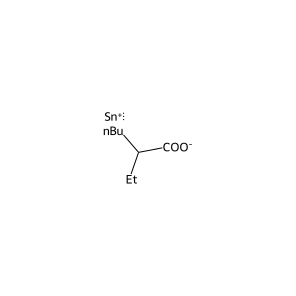 CCCCC(CC)C(=O)[O-].[Sn+]